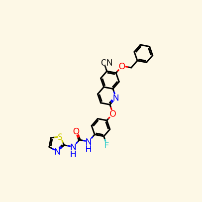 N#Cc1cc2ccc(Oc3ccc(NC(=O)Nc4nccs4)c(F)c3)nc2cc1OCc1ccccc1